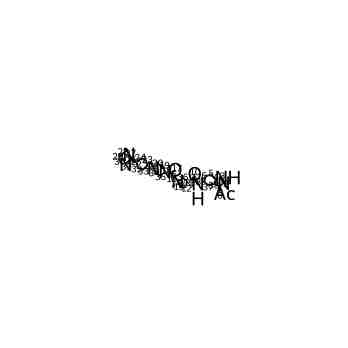 CC(=O)c1n[nH]c2ccc(NC(=O)[C@@H]3CCN(CC(=O)N4CCN(c5ccc(-c6ncccn6)cc5)CC4)C3)cc12